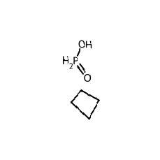 C1CCC1.O=[PH2]O